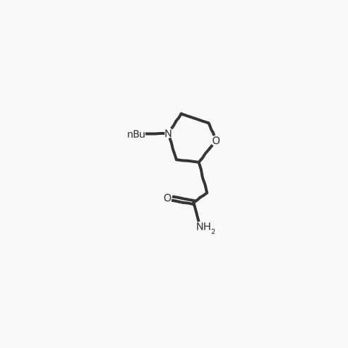 CCCCN1CCOC(CC(N)=O)C1